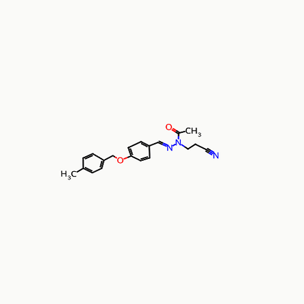 CC(=O)N(CCC#N)/N=C/c1ccc(OCc2ccc(C)cc2)cc1